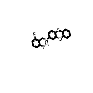 Fc1cccc(F)c1CNc1ccc2c(c1)Oc1ccccc1S2